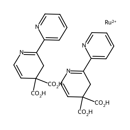 O=C(O)C1(C(=O)O)C=CN=C(c2ccccn2)C1.O=C(O)C1(C(=O)O)C=CN=C(c2ccccn2)C1.[Ru+2]